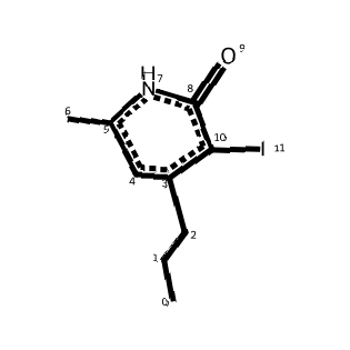 CCCc1cc(C)[nH]c(=O)c1I